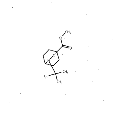 COC(=O)C12CCC(CC1)N(C(C)(C)C)C2